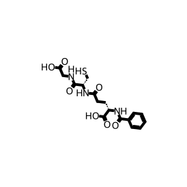 O=C(O)CNC(=O)[C@H](CS)NC(=O)CC[C@H](NC(=O)c1ccccc1)C(=O)O